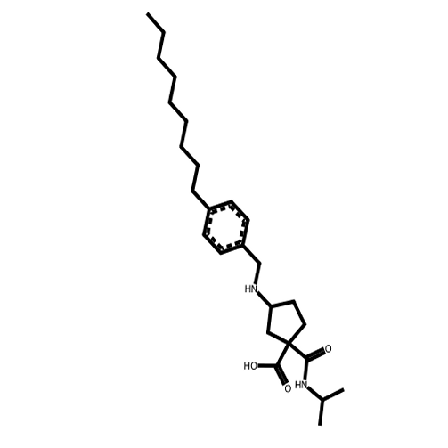 CCCCCCCCCc1ccc(CNC2CCC(C(=O)O)(C(=O)NC(C)C)C2)cc1